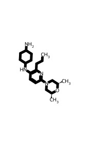 CCCc1nc(N2C[C@@H](C)O[C@@H](C)C2)ccc1NC1CCC(N)CC1